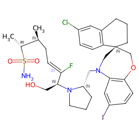 C[C@H]([C@@H](C)C/C=C(\F)[C@H](CO)N1CCC[C@H]1CN1C[C@@]2(CCCc3cc(Cl)ccc32)COc2ccc(I)cc21)S(N)(=O)=O